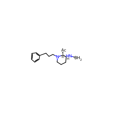 BN[C@@H]1CCCN(CCCc2ccccc2)[C@H]1C(C)=O